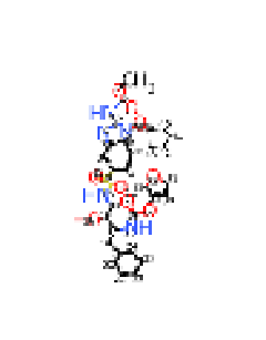 COC(=O)Nc1nc2cc(S(=O)(=O)NC[C@@H](O)[C@H](Cc3ccccc3)NC(=O)Oc3ccoc3)ccc2n1OC1CCCC1